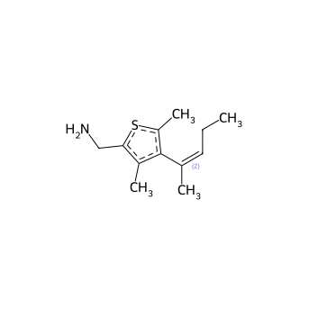 CC/C=C(/C)c1c(C)sc(CN)c1C